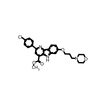 COC(=O)c1cc(-c2ccc(Cl)cc2)nc2c1[nH]c1cc(OCCCN3CCOCC3)ccc12